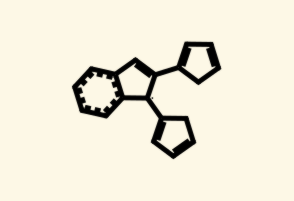 C1=CCC([C]2C(C3=CC=CC3)=Cc3ccccc32)=C1